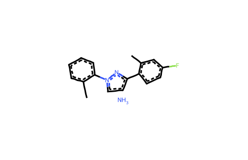 Cc1cc(F)ccc1-c1ccn(-c2ccccc2C)n1.N